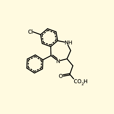 O=C(O)C(=O)CC1CNc2ccc(Cl)cc2C(c2ccccc2)=N1